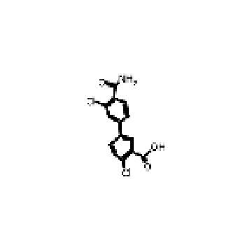 NC(=O)c1ccc(-c2ccc(Cl)c(C(=O)O)c2)cc1Cl